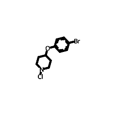 ClN1CCC(Oc2ccc(Br)cc2)CC1